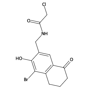 O=C(CCl)NCc1cc2c(c(Br)c1O)CCCC2=O